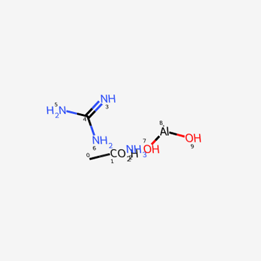 CC(=O)O.N.N=C(N)N.[OH][Al][OH]